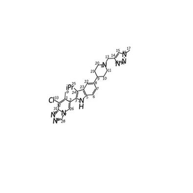 Cc1c(-c2[nH]c3ccc(C4CCN(Cc5cn(C)nn5)CC4)cc3c2C(C)C)cn2cnnc2c1Cl